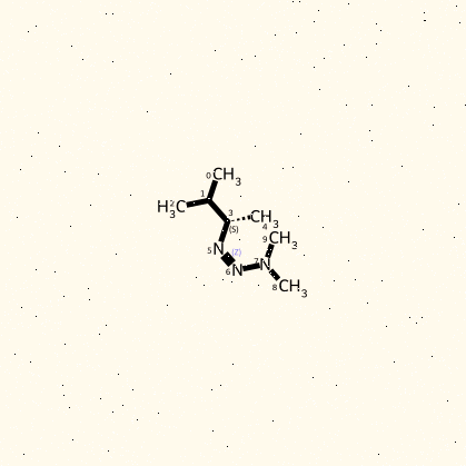 CC(C)[C@H](C)/N=N\N(C)C